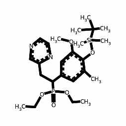 CCOP(=O)(OCC)C(Cc1cnccn1)c1cc(C)c(O[Si](C)(C)C(C)(C)C)c(OC)c1